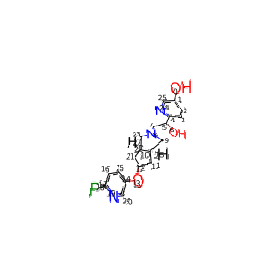 Oc1ccc(C(O)CN2C[C@H]3C[C@@H](Oc4ccc(F)nc4)C[C@H]3C2)nc1